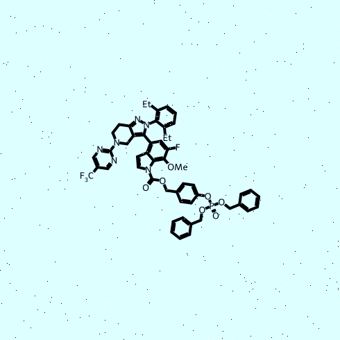 CCc1cccc(CC)c1-n1nc2c(c1-c1cc(F)c(OC)c3c1ccn3C(=O)OCc1ccc(OP(=O)(OCc3ccccc3)OCc3ccccc3)cc1)CN(c1ncc(C(F)(F)F)cn1)CC2